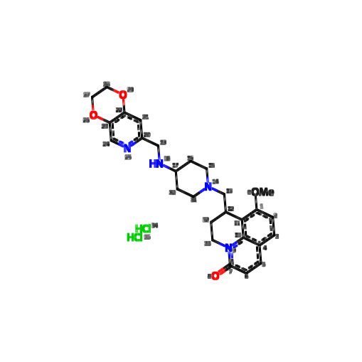 COc1ccc2ccc(=O)n3c2c1C(CN1CCC(NCc2cc4c(cn2)OCCO4)CC1)CC3.Cl.Cl